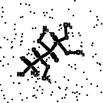 COP(=O)(OC)P(=O)(OC)P(=O)(OC)P(C)(=O)O